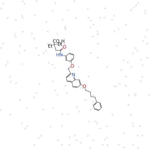 CCC(CC)(CC(=O)Nc1cccc(OCc2ccc3ccc(OCCCCc4ccccc4)cc3n2)c1)C(=O)O